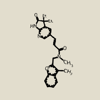 CCC1(CC)C(=O)Nc2ncc(/C=C/C(=O)N(C)Cc3oc4ccccc4c3C)cc21